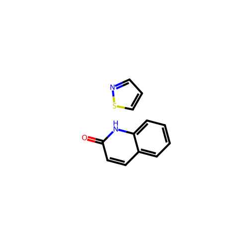 O=c1ccc2ccccc2[nH]1.c1cnsc1